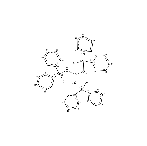 C[Si](OP(O[Si](C)(c1ccccc1)c1ccccc1)O[Si](C)(c1ccccc1)c1ccccc1)(c1ccccc1)c1ccccc1